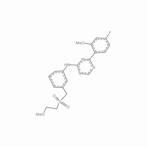 COCCS(=O)(=O)Cc1cccc(Nc2ncnc(-c3ccc(F)cc3OC)n2)c1